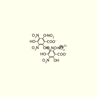 O=C([O-])c1c(O)c([N+](=O)[O-])c(O)c([N+](=O)[O-])c1O[N+](=O)[O-].O=C([O-])c1c(O)c([N+](=O)[O-])c(O)c([N+](=O)[O-])c1O[N+](=O)[O-].[Pb+2]